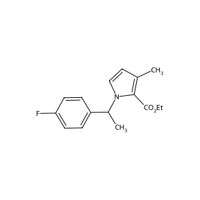 CCOC(=O)c1c(C)ccn1C(C)c1ccc(F)cc1